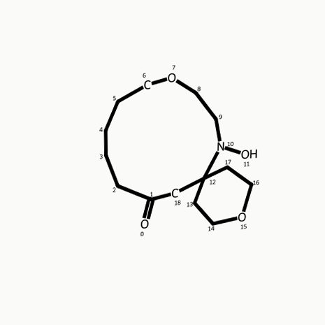 O=C1CCCCCOCCN(O)C2(CCOCC2)C1